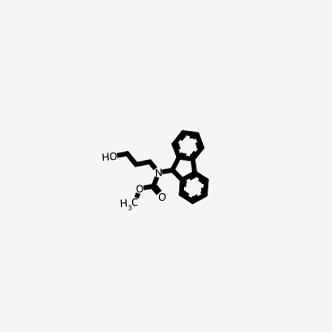 COC(=O)N(CCCO)C1c2ccccc2-c2ccccc21